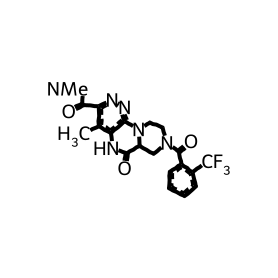 CNC(=O)c1nnc2c(c1C)NC(=O)C1CN(C(=O)c3ccccc3C(F)(F)F)CCN21